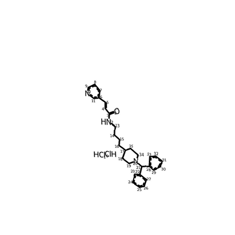 Cl.Cl.O=C(C=Cc1cccnc1)NCCCCC1CCN(C(c2ccccc2)c2ccccc2)CC1